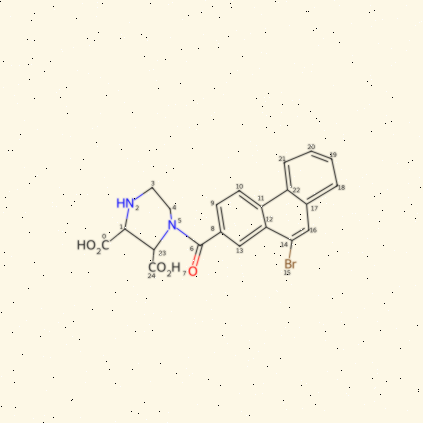 O=C(O)C1NCCN(C(=O)c2ccc3c(c2)c(Br)cc2ccccc23)C1C(=O)O